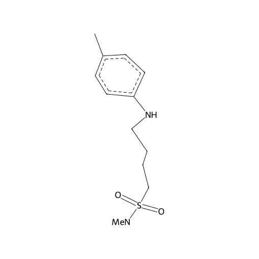 CNS(=O)(=O)CCCCNc1ccc(C)cc1